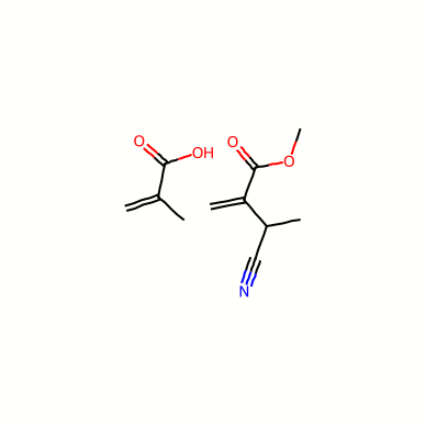 C=C(C(=O)OC)C(C)C#N.C=C(C)C(=O)O